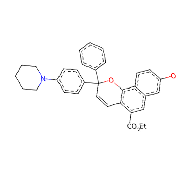 CCOC(=O)c1cc2cc(O)ccc2c2c1C=CC(c1ccccc1)(c1ccc(N3CCCCC3)cc1)O2